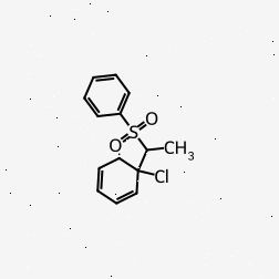 CC(C1(Cl)[CH]C=CC=C1)S(=O)(=O)c1ccccc1